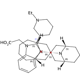 CCN1CCC/C(=C2/N(CC(=O)O)c3ccccc3N2[C@H]2C[C@H]3CCC[C@@H](C2)N3[C@@H]2C[C@@H]3CCCC[C@@H](C3)C2)C1